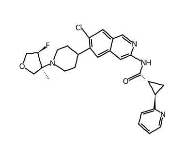 C[C@]1(N2CCC(c3cc4cc(NC(=O)[C@@H]5C[C@H]5c5ccccn5)ncc4cc3Cl)CC2)COC[C@H]1F